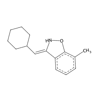 Cc1cccc2c1ONC2=CC1CCCCC1